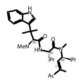 CN[C@H](C(=O)N[C@H](C(=O)N(C)[C@H](/C=C(\C)C(C)=O)C(C)C)C(C)C)C(C)(C)c1c[nH]c2ccccc12